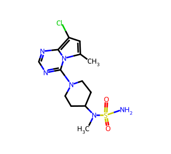 Cc1cc(Cl)c2ncnc(N3CCC(N(C)S(N)(=O)=O)CC3)n12